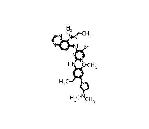 CCSN(C)c1c(Nc2nc(Nc3cc(CC)c(N4CCC(N(C)C)C4)cc3OC)ncc2Br)ccc2nccnc12